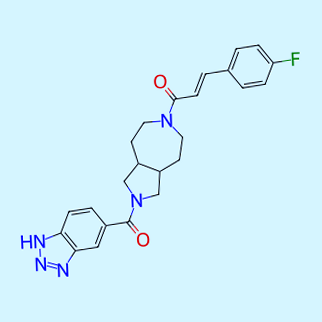 O=C(/C=C/c1ccc(F)cc1)N1CCC2CN(C(=O)c3ccc4[nH]nnc4c3)CC2CC1